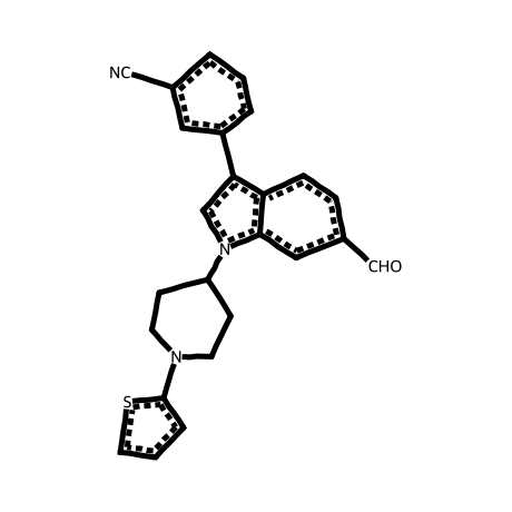 N#Cc1cccc(-c2cn(C3CCN(c4cccs4)CC3)c3cc(C=O)ccc23)c1